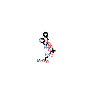 COC(=O)CCNC(=O)[C@@H]1OP(=O)(N[C@@H](Cc2cccnc2)C(=O)OCc2ccccc2)OCC1(C)C